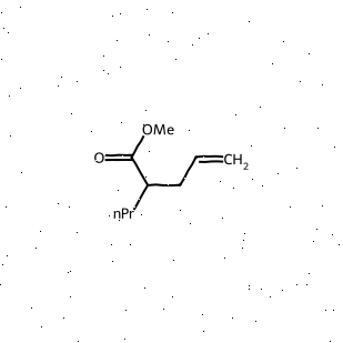 C=CCC(CCC)C(=O)OC